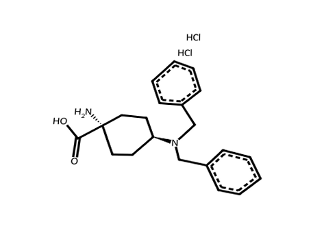 Cl.Cl.N[C@]1(C(=O)O)CC[C@@H](N(Cc2ccccc2)Cc2ccccc2)CC1